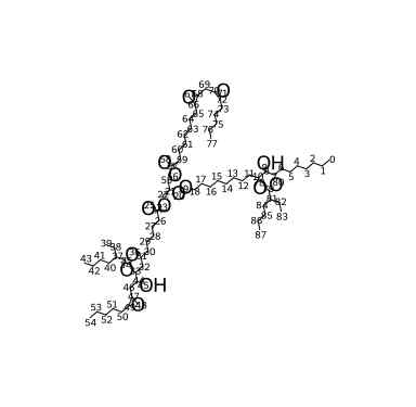 CCCCCCCCC(O)C(CCCCCCCCOOC(COC(=O)CCCCCCCC(OC(=O)C(CC)CCCC)C(O)CC1OC1CCCCC)COC(=O)CCCCCCCC1OC1CC1OC1CCCCC)OC(=O)C(CC)CCCC